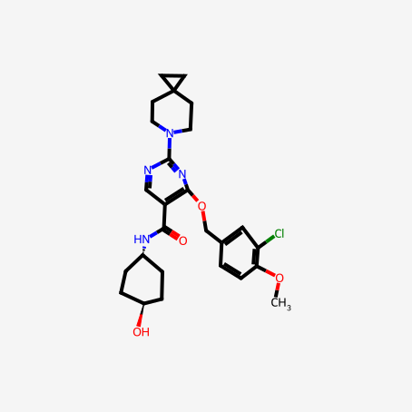 COc1ccc(COc2nc(N3CCC4(CC3)CC4)ncc2C(=O)N[C@H]2CC[C@H](O)CC2)cc1Cl